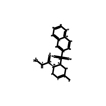 CC1=CC[C@H](C(=O)NO)N(S(=O)(=O)c2ccc3ncccc3c2)C1